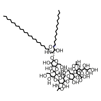 CCCCCCCCCCCCC/C=C/[C@@H](O)[C@H](CO[C@@H]1OC(CO)[C@@H](O[C@@H]2OC(CO)[C@H](O)[C@H](O[C@@H]3OC(CO)[C@@H](O[C@@H]4OC(CO)[C@H](O)[C@H](O[C@]5(C(=O)O)CC(O)[C@@H](NC(C)=O)C([C@H](O)[C@H](O)CO)O5)C4O)[C@H](O)C3NC(C)=O)C2O)[C@H](O)C1O)NC(=O)CCCCCCCCCCCCCCCCCCCCC